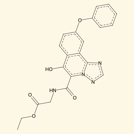 CCOC(=O)CNC(=O)c1c(O)c2ccc(Oc3ccccc3)cc2c2ncnn12